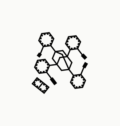 C#Cc1ccccc1C12CC3(c4ccccc4C#C)CC(c4ccccc4C#C)(C1)CC(c1ccccc1C#C)(C2)C3.c1cc2ccc1-2